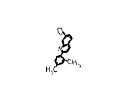 Cc1ccc(-c2ccc3ccc(Cl)cc3n2)c(C)c1